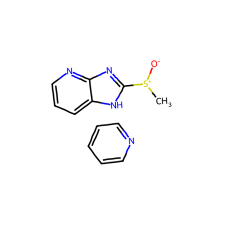 C[S+]([O-])c1nc2ncccc2[nH]1.c1ccncc1